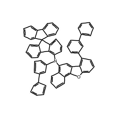 c1ccc(-c2cccc(-c3cccc4oc5c6ccccc6c(N(c6cccc(-c7ccccc7)c6)c6cccc7c6-c6ccccc6C76c7ccccc7-c7ccccc76)cc5c34)c2)cc1